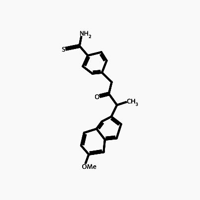 COc1ccc2cc(C(C)C(=O)Cc3ccc(C(N)=S)cc3)ccc2c1